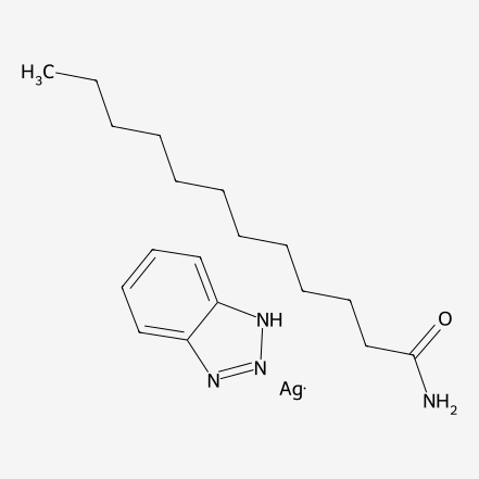 CCCCCCCCCCCC(N)=O.[Ag].c1ccc2[nH]nnc2c1